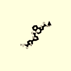 NC(=O)c1ccc(-c2cccc(C(=O)N3CCc4cc(C(=O)NC5CC5)sc4-c4ccccc43)n2)cn1